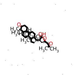 CC1(C)O[C@H]1[C@H]1C[C@@H]([C@@H]2CC[C@]3(C)C4=CC[C@H]5C(C)(C)C(=O)CC[C@]5(C)[C@H]4CC[C@@]23C)[C@H](O)O1